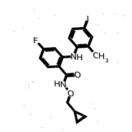 Cc1cc(I)ccc1Nc1cc(F)ccc1C(=O)NOCC1CC1